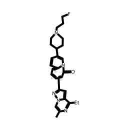 CCc1nc(C)cn2nc(C3=C\C(=O)N4C=C(C5CCN(CCCF)CC5)C=C\C4=C/C=C/3)cc12